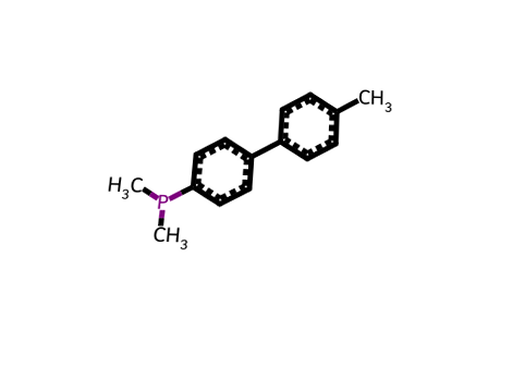 Cc1ccc(-c2ccc(P(C)C)cc2)cc1